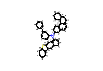 c1ccc(-c2cccc(N(c3ccc4c(ccc5ccc6ccccc6c54)c3)c3cccc4cc5c(cc34)sc3ccccc35)c2)cc1